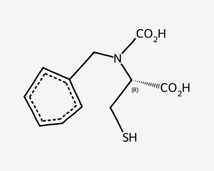 O=C(O)[C@H](CS)N(Cc1ccccc1)C(=O)O